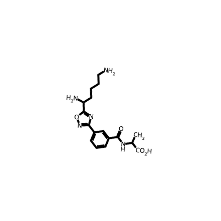 CC(NC(=O)c1cccc(-c2noc(C(N)CCCCN)n2)c1)C(=O)O